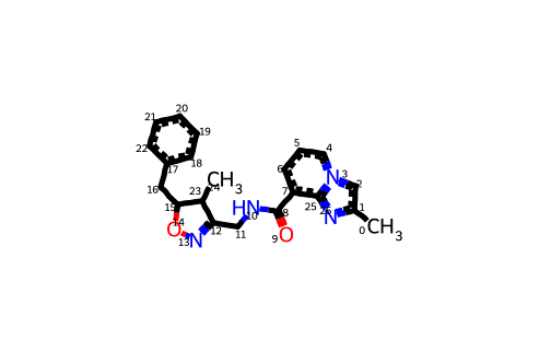 Cc1cn2cccc(C(=O)NCC3=NOC(Cc4ccccc4)C3C)c2n1